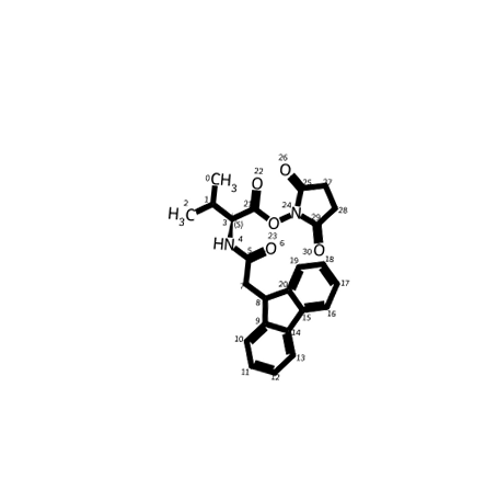 CC(C)[C@H](NC(=O)CC1c2ccccc2-c2ccccc21)C(=O)ON1C(=O)CCC1=O